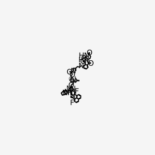 C#Cc1c(F)ccc2cccc(-c3ncc4c(N5CC6CCC(C5)N6)nc(OCC56CC[C@@H](COC(=O)N7CC(CCNc8cccc9c8C(=O)N(C8CCC(=O)NC8=O)C9=O)C7)N5CC(=C)C6)nc4c3F)c12